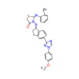 CC(C)c1ccccc1/N=C1/SCC(=O)N1/N=C1\CCc2cc(-c3ncn(-c4ccc(OC(F)(F)F)cc4)n3)ccc21